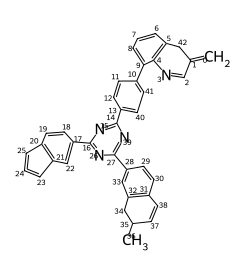 C=C1C=Nc2c(cccc2-c2ccc(-c3nc(-c4ccc5c(c4)C=C=C5)nc(-c4ccc5c(c4)CC(C)C=C5)n3)cc2)C1